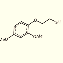 COc1ccc(OCCS)c(OC)c1